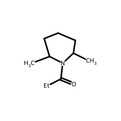 CCC(=O)N1C(C)CCCC1C